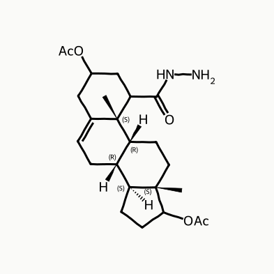 CC(=O)OC1CC2=CC[C@@H]3[C@@H](CC[C@]4(C)C(OC(C)=O)CC[C@@H]34)[C@@]2(C)C(C(=O)NN)C1